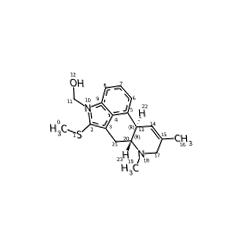 CSc1c2c3c(cccc3n1CO)[C@H]1C=C(C)CN(C)[C@@H]1C2